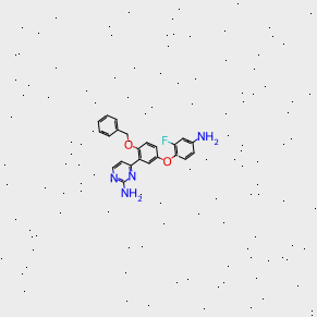 Nc1ccc(Oc2ccc(OCc3ccccc3)c(-c3ccnc(N)n3)c2)c(F)c1